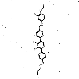 CCCCOc1ccc(-c2ccc(-c3ccc(COc4ccc(OCC)c(F)c4)cc3)c(F)c2F)cc1